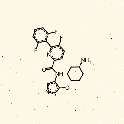 N[C@H]1CC[C@H](Oc2sncc2NC(=O)c2ccc(F)c(-c3c(F)cccc3F)n2)CC1